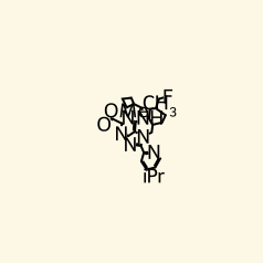 COC(=O)c1nc(N[C@H](C)C2CCC2)c2c(n1)nc(-c1cc(C(C)C)ccn1)n2CC1CCC(CF)CC1